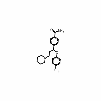 NC(=O)c1ccc(C(CCN2CCCCC2)Oc2ccc(C(F)(F)F)cc2)cc1